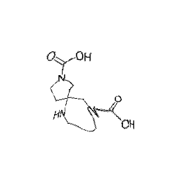 O=C(O)N1CCNC2(CCN(C(=O)O)C2)C1